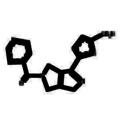 O=C(O)c1ccc(C2=NCC3=C2CN(C(=O)c2ccncc2)C3)s1